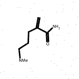 C=C(CCCNC)C(N)=O